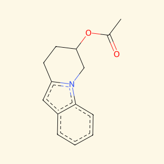 CC(=O)OC1CCc2cc3ccccc3n2C1